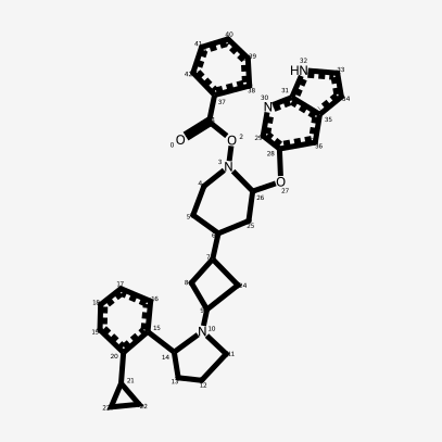 O=C(ON1CCC(C2CC(N3CCCC3c3ccccc3C3CC3)C2)CC1Oc1cnc2[nH]ccc2c1)c1ccccc1